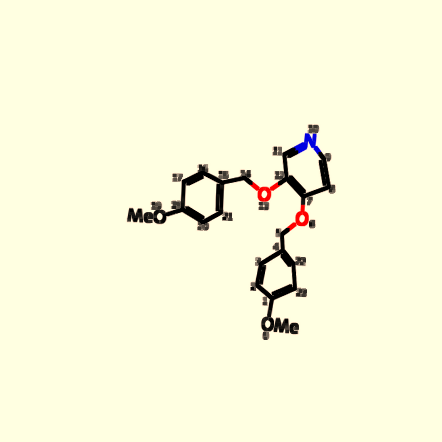 COc1ccc(COc2ccncc2OCc2ccc(OC)cc2)cc1